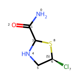 NC(=O)C1NC[C@H](Cl)S1